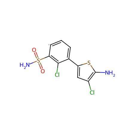 Nc1sc(-c2cc[c]c(S(N)(=O)=O)c2Cl)cc1Cl